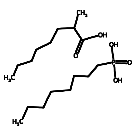 CCCCCCC(C)C(=O)O.CCCCCCCCP(=O)(O)O